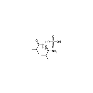 C=C(C)C(N)=O.C=C(C)C(N)=O.O=S(=O)(O)O